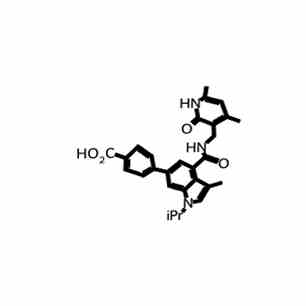 Cc1cc(C)c(CNC(=O)c2cc(-c3ccc(C(=O)O)cc3)cc3c2c(C)cn3C(C)C)c(=O)[nH]1